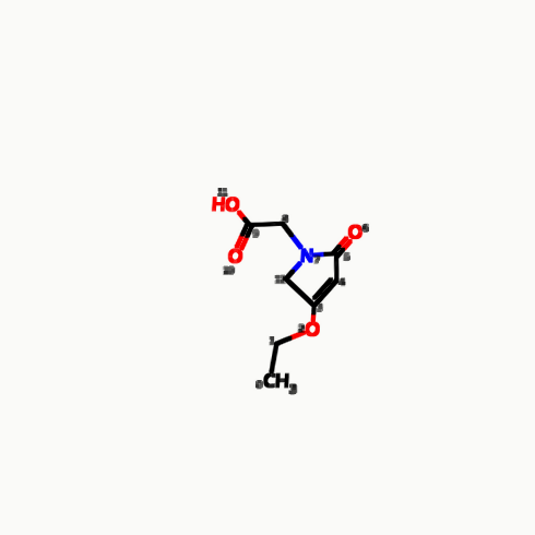 CCOC1=CC(=O)N(CC(=O)O)C1